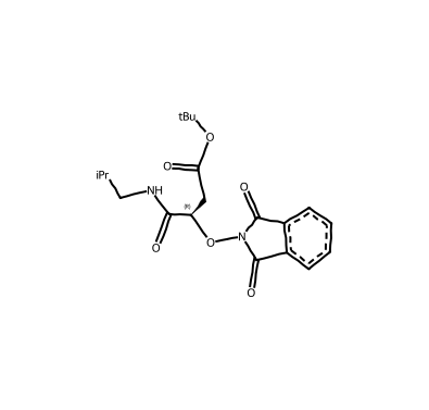 CC(C)CNC(=O)[C@@H](CC(=O)OC(C)(C)C)ON1C(=O)c2ccccc2C1=O